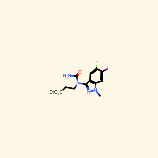 CCOC(=O)CCN(C(N)=O)c1nn(C)c2cc(I)c(F)cc12